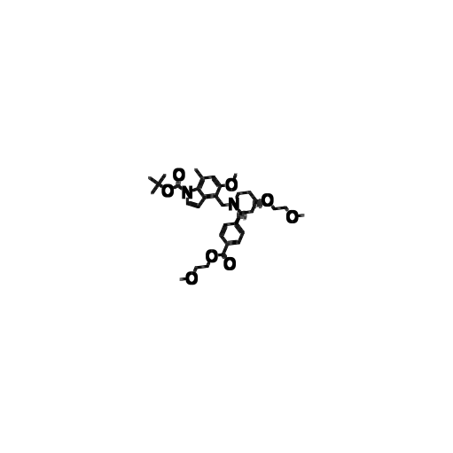 COCCOC(=O)c1ccc([C@@H]2C[C@@H](OCCOC)CCN2Cc2c(OC)cc(C)c3c2ccn3C(=O)OC(C)(C)C)cc1